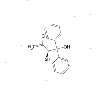 C=C(C)[C@H](S)C(O)(c1ccccc1)c1ccccc1